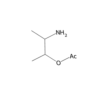 CC(=O)OC(C)C(C)N